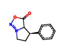 O=C1ON=[N+]2CC[C@H](c3ccccc3)C12